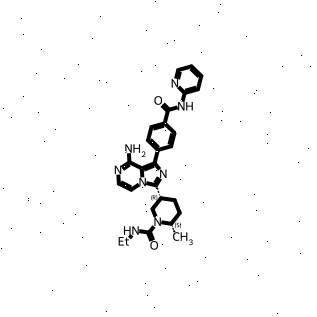 CCNC(=O)N1C[C@H](c2nc(-c3ccc(C(=O)Nc4ccccn4)cc3)c3c(N)nccn23)CC[C@@H]1C